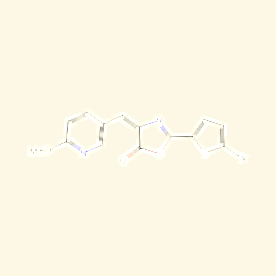 COc1ccc(/C=C2/N=C(c3ccc(Br)s3)OC2=O)cn1